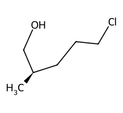 C[C@@H](CO)CCCCl